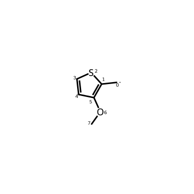 [CH2]c1sccc1OC